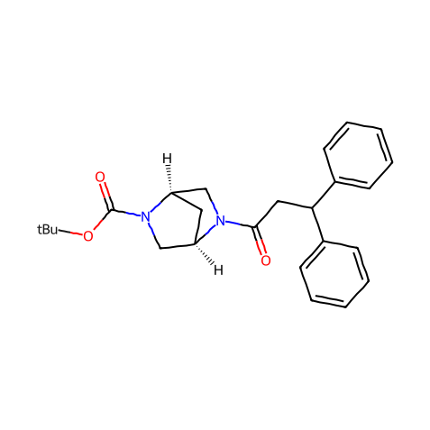 CC(C)(C)OC(=O)N1C[C@H]2C[C@@H]1CN2C(=O)CC(c1ccccc1)c1ccccc1